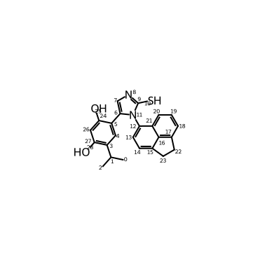 CC(C)c1cc(-c2cnc(S)n2-c2ccc3c4c(cccc24)CC3)c(O)cc1O